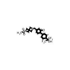 CS(=O)(=O)N1CC2(CN(Cc3ccc(-c4ccc(C(O)(C(F)(F)F)C(F)(F)F)cc4)c(Cl)c3)C2)C1